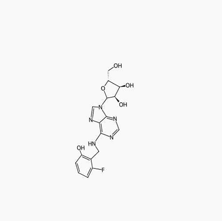 OC[C@H]1OC(n2cnc3c(NCc4c(O)cccc4F)ncnc32)[C@H](O)[C@@H]1O